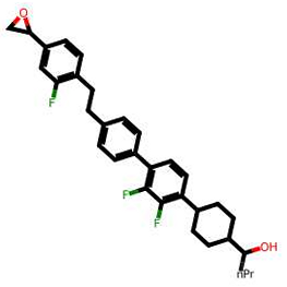 CCCC(O)C1CCC(c2ccc(-c3ccc(CCc4ccc(C5CO5)cc4F)cc3)c(F)c2F)CC1